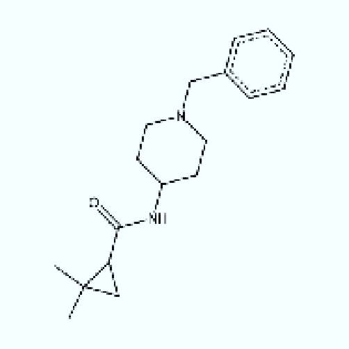 CC1(C)CC1C(=O)NC1CCN(Cc2ccccc2)CC1